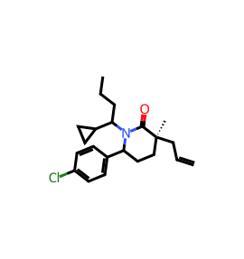 C=CC[C@@]1(C)CCC(c2ccc(Cl)cc2)N(C(CCC)C2CC2)C1=O